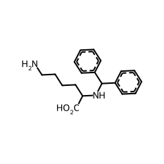 NCCCCC(NC(c1ccccc1)c1ccccc1)C(=O)O